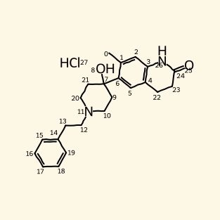 Cc1cc2c(cc1C1(O)CCN(CCc3ccccc3)CC1)CCC(=O)N2.Cl